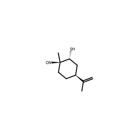 C=C(C)[C@H]1CC[C@@](C)(N=O)[C@H](S)C1